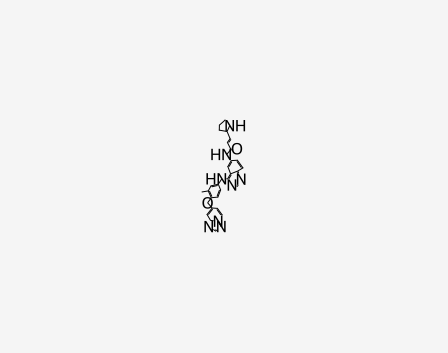 Cc1cc(Nc2ncnc3ccc(NC(=O)C=CC4CCCN4)cc23)ccc1Oc1ccn2ncnc2c1